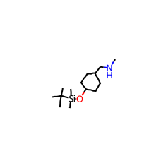 CNCC1CCC(O[Si](C)(C)C(C)(C)C)CC1